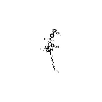 Cc1ncsc1-c1ccc([C@H](C)NC(=O)[C@@H]2C[C@@H](O)CN2C(=O)C(NC(=O)CCOCCOCCOCCN)C(C)(C)C)cc1